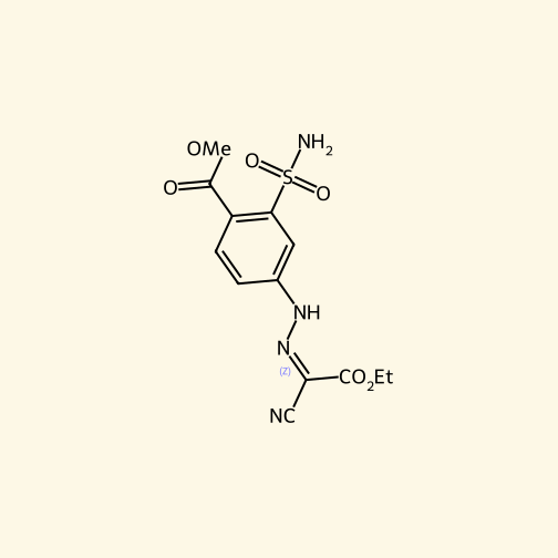 CCOC(=O)/C(C#N)=N\Nc1ccc(C(=O)OC)c(S(N)(=O)=O)c1